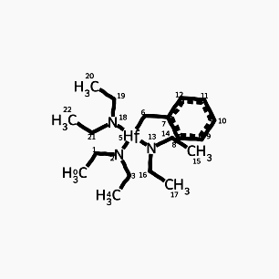 CC[N](CC)[Hf]([CH2]c1ccccc1)([N](CC)CC)[N](CC)CC